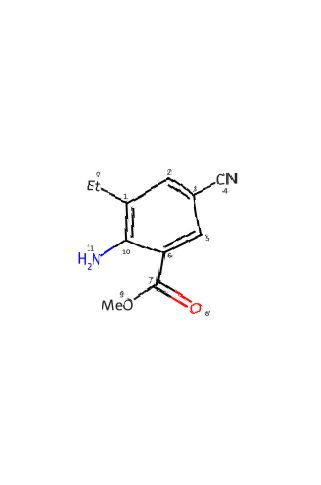 CCc1cc(C#N)cc(C(=O)OC)c1N